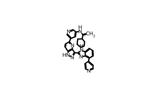 C=C(Nc1cncc(-c2ccc3[nH]nc(-c4nc5c(-c6ccncc6)cccc5[nH]4)c3n2)c1)C1CCCCC1